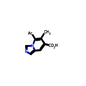 CC(=O)c1c(C)c(C(=O)O)cc2cncn12